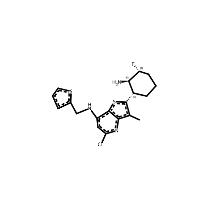 Cc1c([C@H]2CCC[C@@H](F)[C@@H]2N)sc2c(NCc3cccs3)cc(Cl)nc12